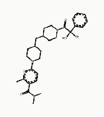 Cc1nc(N2CCC(CC3CCN(C(=O)C(O)(c4ccccc4)C(F)(F)F)CC3)CC2)ccc1C(=O)N(C)C